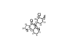 O=c1c2c(c3cccnc3n1-c1ccc(F)c(Cl)c1)SCC2